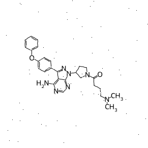 CN(C)CCCC(=O)N1CCC(n2nc(-c3ccc(Oc4ccccc4)cc3)c3c(N)ncnc32)C1